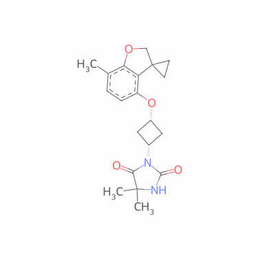 Cc1ccc(O[C@H]2C[C@@H](N3C(=O)NC(C)(C)C3=O)C2)c2c1OCC21CC1